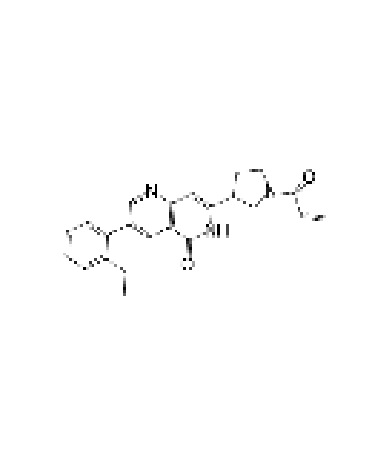 C=CC(=O)N1CCC(c2cc3ncc(-c4ccccc4CC)cc3c(=O)[nH]2)C1